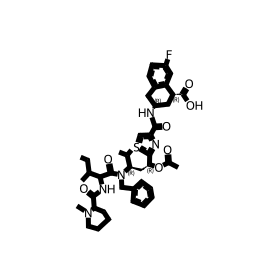 CCC(C)C(NC(=O)C1CCCCN1C)C(=O)N(Cc1ccccc1)[C@H](C[C@@H](OC(C)=O)c1nc(C(=O)N[C@H]2Cc3ccc(F)cc3[C@H](C(=O)O)C2)cs1)C(C)C